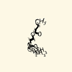 CCCC(=O)OCC[Si](OC)(OC)OC